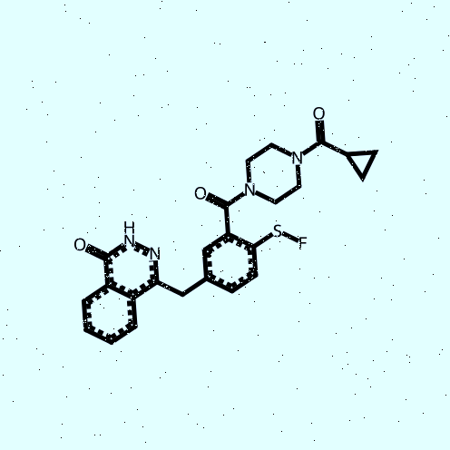 O=C(c1cc(Cc2n[nH]c(=O)c3ccccc23)ccc1SF)N1CCN(C(=O)C2CC2)CC1